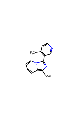 CSc1nc(-c2cnccc2C(F)(F)F)n2ccccc12